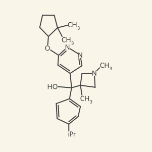 CC(C)c1ccc(C(O)(c2cnnc(OC3CCCC3(C)C)c2)C2(C)CN(C)C2)cc1